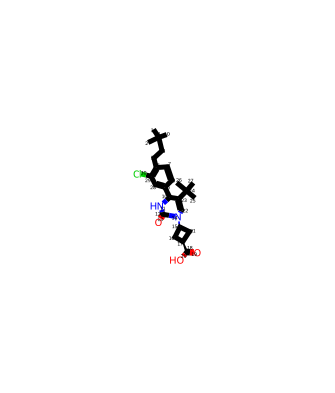 CC(C)(C)CCc1ccc(C2NC(=O)N([C@H]3C[C@H](C(=O)O)C3)C=C2C(C)(C)C)cc1Cl